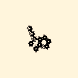 O=S1(=O)c2ccccc2-c2ccccc2-c2ccccc2-c2ccc(-c3cc(-c4ccc(-c5cccnc5)nc4)nc(-c4ccccc4)n3)cc2-c2cc3oc4ccccc4c3cc21